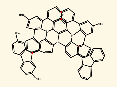 CC(C)c1cc2c3c(c1)N(c1c(-c4ccccc4)cc(C(C)(C)C)cc1-c1ccccc1)c1cc(-n4c5cc(C(C)(C)C)ccc5c5ccc(C(C)(C)C)cc54)ccc1B3c1ccc(-n3c4ccccc4c4ccccc43)cc1N2c1c(-c2ccccc2)cc(C(C)(C)C)cc1-c1ccccc1